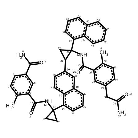 Cc1ccc(C(N)=O)cc1C(=O)NC1(c2cccc3cc(C4CC4(NC(=O)c4cc(CC(N)=O)ccc4C)c4cccc5ccccc45)ccc23)CC1